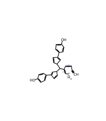 C#C/C=C\C(=C/C)C(C1C=CC(c2ccc(O)cc2)=C1)C1C=CC(c2ccc(O)cc2)=C1